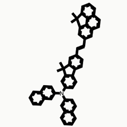 CC1(C)c2cc(/C=C/c3cc4c5c(ccc6cccc(c65)C4(C)C)c3)ccc2-c2ccc(N(c3ccc4ccccc4c3)c3ccc4ccccc4c3)cc21